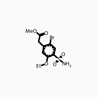 CCOc1cc(CC(=O)OC)c(Br)cc1S(N)(=O)=O